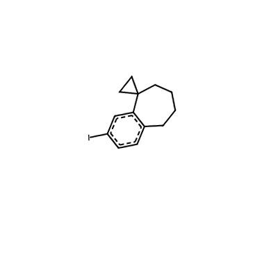 Ic1ccc2c(c1)C1(CCCC2)CC1